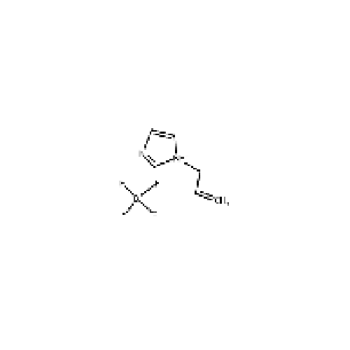 C=CC[NH+]1C=CN=C1.F[B-](F)(F)F